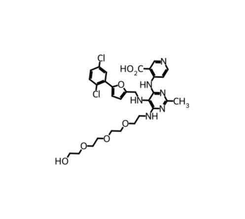 Cc1nc(NCCOCCOCCOCCO)c(NCc2ccc(-c3cc(Cl)ccc3Cl)o2)c(Nc2ccncc2C(=O)O)n1